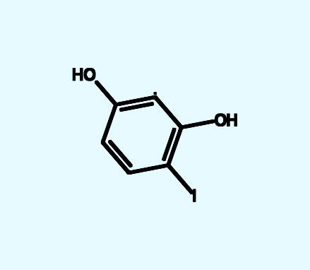 Oc1[c]c(O)c(I)cc1